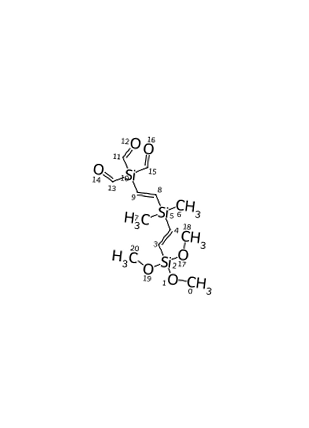 CO[Si](C=C[Si](C)(C)C=C[Si](C=O)(C=O)C=O)(OC)OC